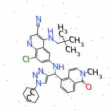 Cn1ccc2c(C(Nc3cc(Cl)c4ncc(C#N)c(NCC(C)(C)C)c4c3)c3cn(C45CCC(CC4)CC5)nn3)cccc2c1=O